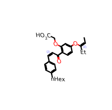 C/C=C(/CC)Oc1ccc(C(=O)/C=C\c2ccc(CCCCCC)cc2)c(OCC(=O)O)c1